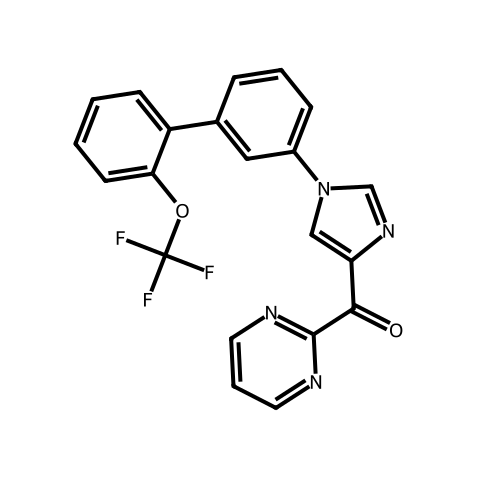 O=C(c1cn(-c2cccc(-c3ccccc3OC(F)(F)F)c2)cn1)c1ncccn1